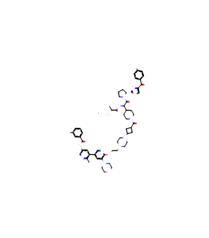 CN[C@@H](C)C(=O)NC(C(=O)N1CCC[C@H]1c1nc(C(=O)c2ccc(F)cc2)cs1)C1CCN(C(=O)C2CC(N3CCN(CCOc4ncc(-c5cc(NC(=O)c6cccc(C(F)(F)F)c6)cnc5C)cc4N4CCOCC4)CC3)C2)CC1